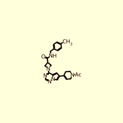 CC(=O)N1CC=C(c2cc3c(N4CC(C(=O)NCc5ccc(C)cc5)C4)ncnn3c2)CC1